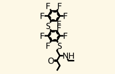 CCNC(CSc1c(F)c(F)c(Sc2c(F)c(F)c(F)c(F)c2F)c(F)c1F)C(=O)CC